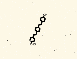 O=Cc1ccc(/C=C/c2ccc(/C=C/c3ccc(O)cc3)cc2)cc1